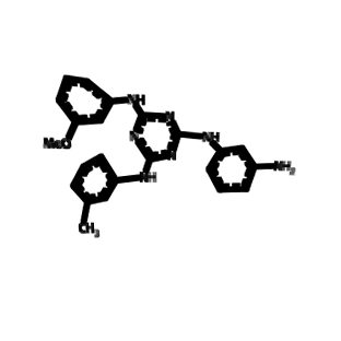 COc1cccc(Nc2nc(Nc3cccc(C)c3)nc(Nc3cccc(N)c3)n2)c1